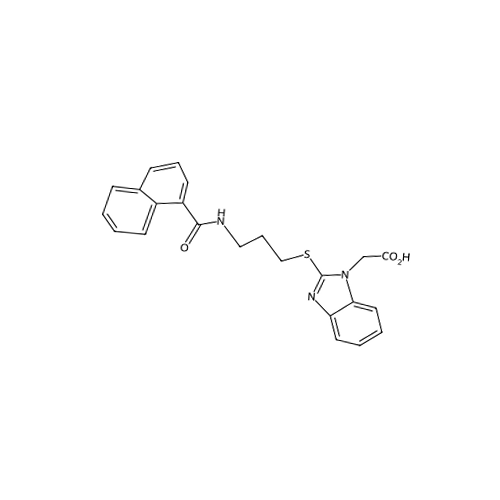 O=C(O)Cn1c(SCCCNC(=O)c2cccc3ccccc23)nc2ccccc21